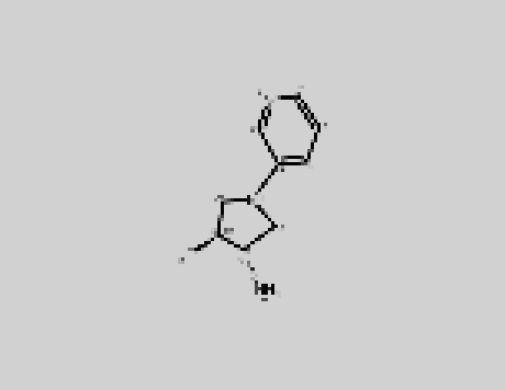 N[C@H]1CN(c2cccnc2)C[C@@H]1F